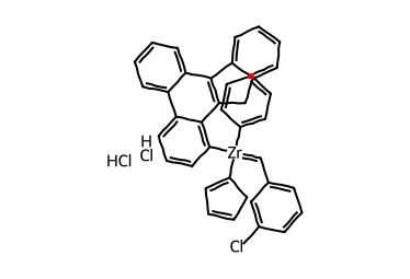 Cl.Cl.Clc1cccc([CH]=[Zr]([C]2=CC=CC2)([c]2ccccc2)[c]2cccc3c2c2c(c4ccccc43)-c3ccccc3C2)c1